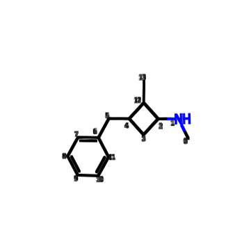 CNC1CC(Cc2ccccc2)C1C